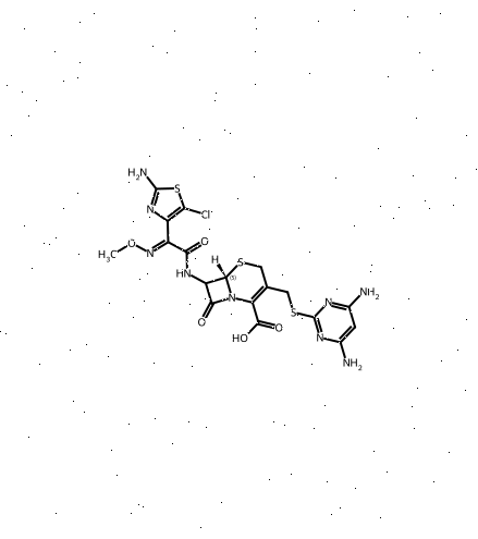 CON=C(C(=O)NC1C(=O)N2C(C(=O)O)=C(CSc3nc(N)cc(N)n3)CS[C@@H]12)c1nc(N)sc1Cl